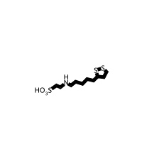 O=S(=O)(O)CCNCCCCCC1CCSS1